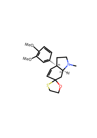 COc1ccc([C@@]23C=CC4(C[C@@H]2N(C)CC3)OCCS4)cc1OC